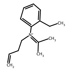 C=CCC[N+](=C(C)C)c1ccccc1CC